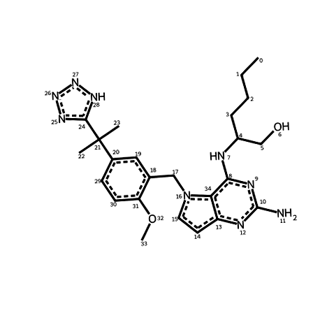 CCCCC(CO)Nc1nc(N)nc2ccn(Cc3cc(C(C)(C)c4nnn[nH]4)ccc3OC)c12